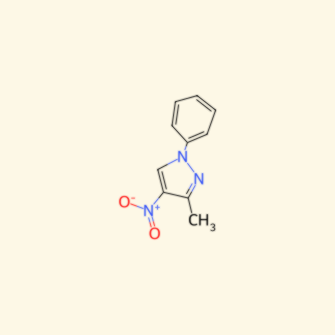 Cc1nn(-c2ccccc2)cc1[N+](=O)[O-]